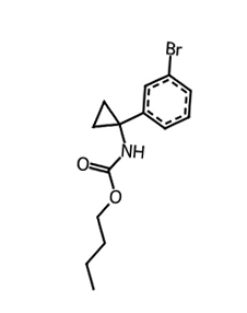 CCCCOC(=O)NC1(c2cccc(Br)c2)CC1